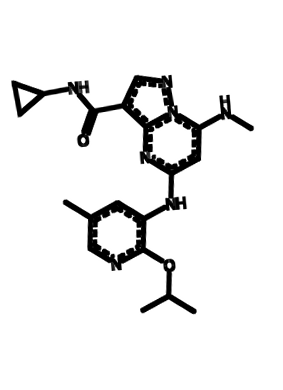 CNc1cc(Nc2cc(C)cnc2OC(C)C)nc2c(C(=O)NC3CC3)cnn12